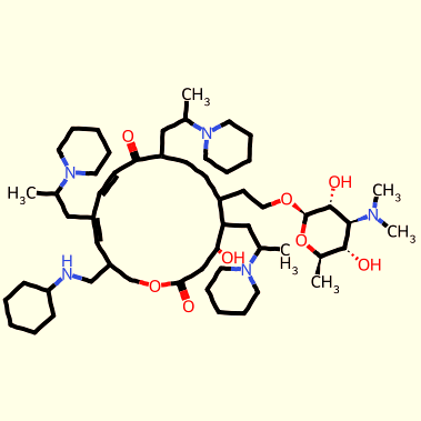 CC(CC1=CC(CNC2CCCCC2)COC(=O)CC(O)C(CC(C)N2CCCCC2)C(CCO[C@@H]2O[C@H](C)[C@@H](O)[C@H](N(C)C)[C@H]2O)CCC(CC(C)N2CCCCC2)C(=O)C=C1)N1CCCCC1